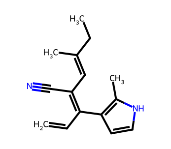 C=C/C(=C(C#N)/C=C(\C)CC)c1cc[nH]c1C